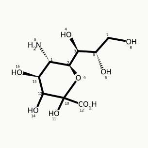 N[C@@H]1[C@@H]([C@@H](O)[C@@H](O)CO)OC(O)(C(=O)O)C(O)[C@H]1O